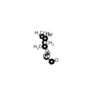 Cc1cc(OC[P@@]2(=O)OCC[C@@H](c3cccc(Cl)c3)O2)cc(C)c1Cc1ccc(O)c2c1CCC2(C)C